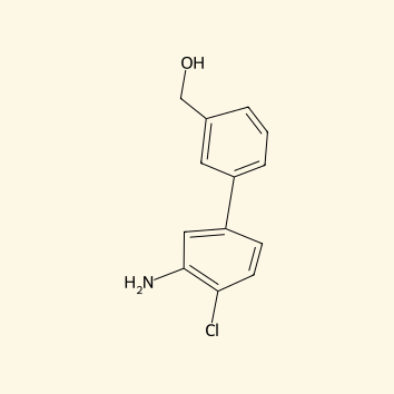 Nc1cc(-c2cccc(CO)c2)ccc1Cl